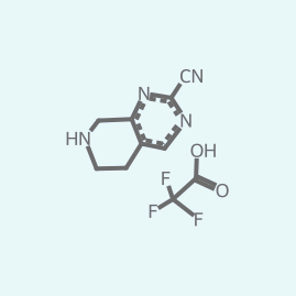 N#Cc1ncc2c(n1)CNCC2.O=C(O)C(F)(F)F